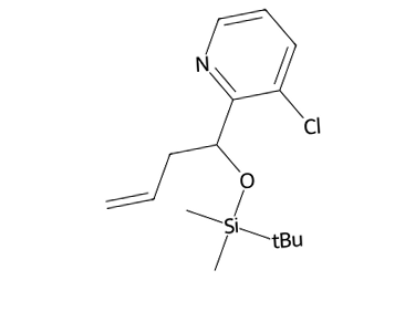 C=CCC(O[Si](C)(C)C(C)(C)C)c1ncccc1Cl